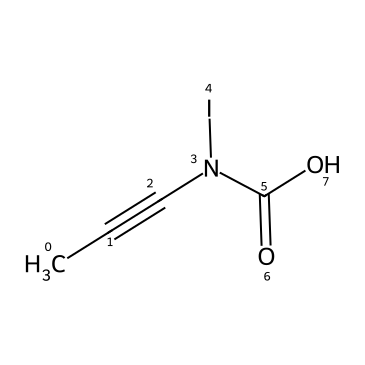 CC#CN(I)C(=O)O